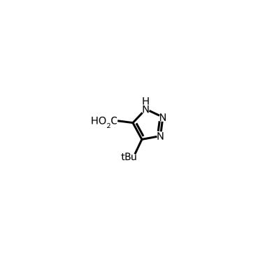 CC(C)(C)c1nn[nH]c1C(=O)O